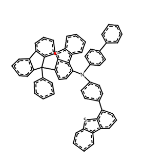 c1ccc(-c2ccc(N(c3ccc(-c4cccc5c4sc4ccccc45)cc3)c3ccc(C4(c5ccccc5)c5ccccc5-c5ccccc54)c4oc5ccccc5c34)cc2)cc1